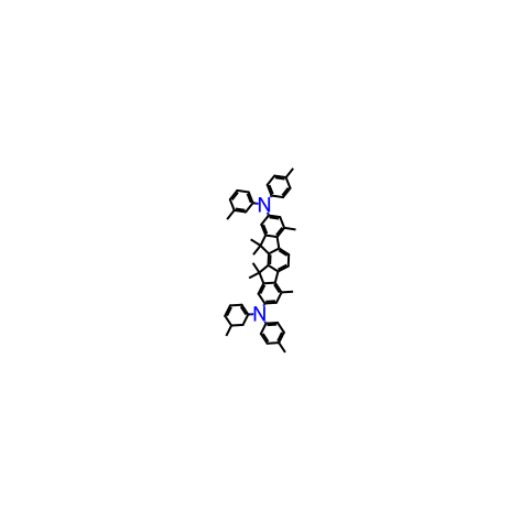 Cc1ccc(N(C2=CC=CC(C)C2)c2cc(C)c3c(c2)C(C)(C)c2c-3ccc3c2C(C)(C)c2cc(N(c4ccc(C)cc4)c4cccc(C)c4)cc(C)c2-3)cc1